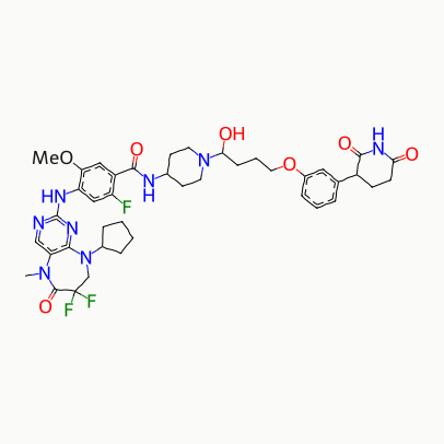 COc1cc(C(=O)NC2CCN(C(O)CCCOc3cccc(C4CCC(=O)NC4=O)c3)CC2)c(F)cc1Nc1ncc2c(n1)N(C1CCCC1)CC(F)(F)C(=O)N2C